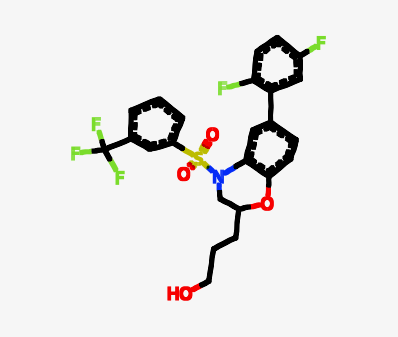 O=S(=O)(c1cccc(C(F)(F)F)c1)N1CC(CCCO)Oc2ccc(-c3cc(F)ccc3F)cc21